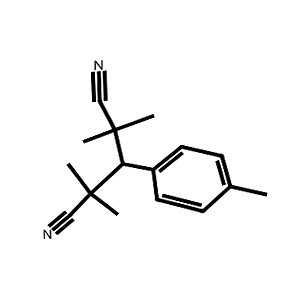 Cc1ccc(C(C(C)(C)C#N)C(C)(C)C#N)cc1